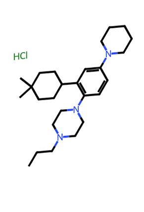 CCCN1CCN(c2ccc(N3CCCCC3)cc2C2CCC(C)(C)CC2)CC1.Cl